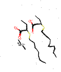 CCCCCCSC(CC)C(=O)[O-].CCCCCCSC(CC)C(=O)[O-].[CH3][Sn+2][CH3]